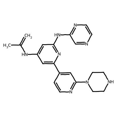 C=C(C)Nc1cc(Nc2cnccn2)nc(-c2ccnc(N3CCNCC3)c2)c1